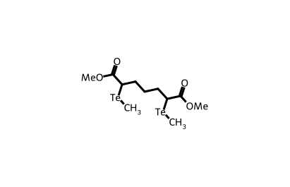 COC(=O)C(CCCC([Te]C)C(=O)OC)[Te]C